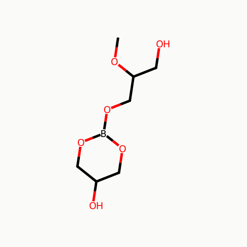 COC(CO)COB1OCC(O)CO1